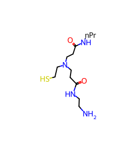 CCCNC(=O)CCN(CCS)CCC(=O)NCCN